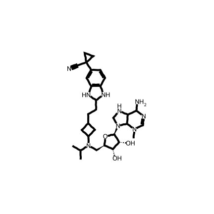 CC(C)N(C[C@H]1O[C@@H](N2CNC3C(N)N=CN(C)C32)[C@H](O)[C@@H]1O)C1CC(CCC2Nc3ccc(C4(C#N)CC4)cc3N2)C1